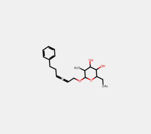 CC(=O)OCC1OC(OCC=C=CCCc2ccccc2)C(OC(C)=O)C(O)C1O